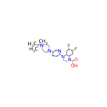 CC(C)(C)N1CCN(c2ccc(N3CCN(C(=O)O)c4cc(F)c(F)cc43)nc2)CC1